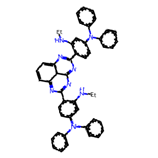 CCNc1cc(N(c2ccccc2)c2ccccc2)ccc1C1=NC2=CC=CC3=NC(c4ccc(N(c5ccccc5)c5ccccc5)cc4NCC)=NC(=N1)C23